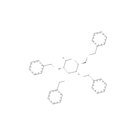 O[C@H]1S[C@@H](COCc2ccccc2)[C@@H](OCc2ccccc2)[C@H](OCc2ccccc2)[C@H]1OCc1ccccc1